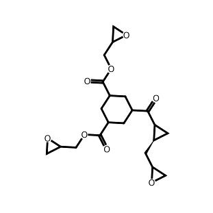 O=C(OCC1CO1)C1CC(C(=O)OCC2CO2)CC(C(=O)C2C[C@H]2CC2CO2)C1